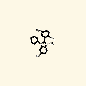 Cc1ccc(C)c(-c2n(-c3ccccc3)c3cc(C(C)(C)C)ccc3[n+]2C)c1